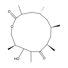 CC1C[C@H](C)C[C@@H](C)C[C@@H](C)C(=O)C(C)C(O)[C@@H](C)COC1=O